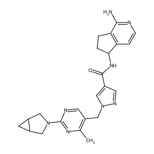 Cc1nc(N2CC3CC3C2)ncc1Cn1cc(C(=O)NC2CCc3c2ccnc3N)cn1